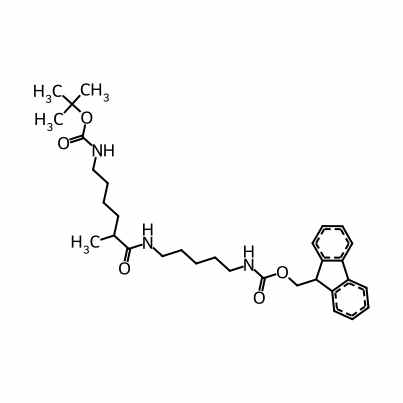 CC(CCCCNC(=O)OC(C)(C)C)C(=O)NCCCCCNC(=O)OCC1c2ccccc2-c2ccccc21